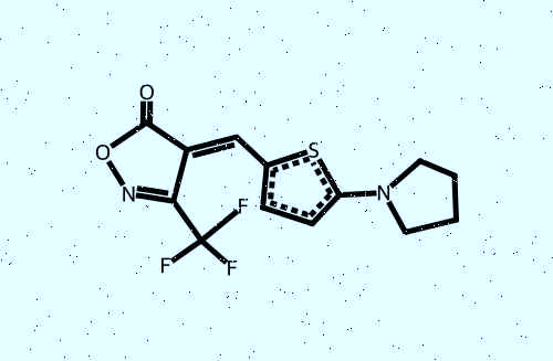 O=C1ON=C(C(F)(F)F)/C1=C\c1ccc(N2CCCC2)s1